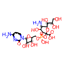 Nc1ccn([C@@H]2OC(COP(=O)(O)O[C@@]3(C(=O)O)CC(O)[C@@H](N)C([C@H](O)[C@H](O)CO)O3)[C@@H](O)[C@H]2O)c(=O)n1